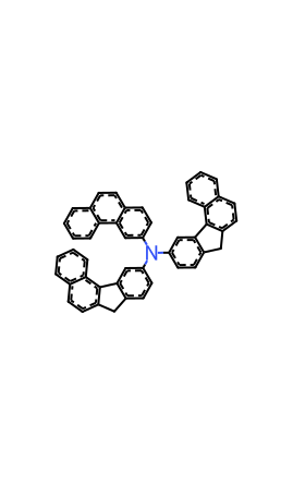 c1ccc2c3c(ccc2c1)Cc1ccc(N(c2ccc4c(c2)-c2c(ccc5ccccc25)C4)c2ccc4ccc5ccccc5c4c2)cc1-3